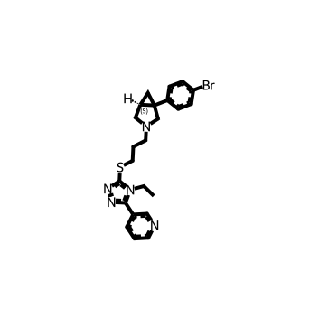 CCn1c(SCCCN2C[C@H]3CC3(c3ccc(Br)cc3)C2)nnc1-c1cccnc1